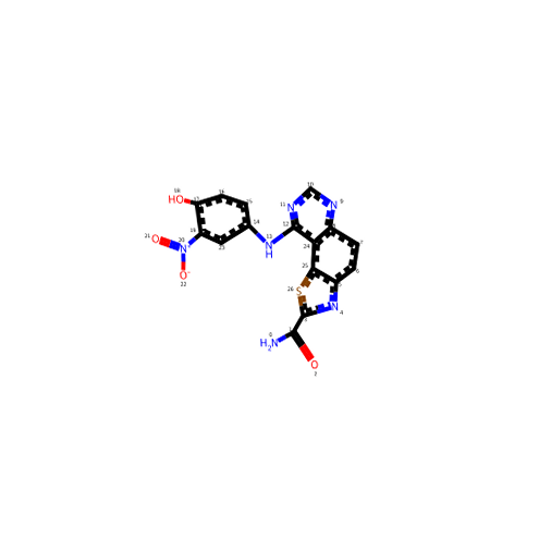 NC(=O)c1nc2ccc3ncnc(Nc4ccc(O)c([N+](=O)[O-])c4)c3c2s1